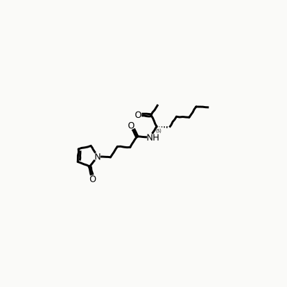 CCCCC[C@H](NC(=O)CCCN1CC=CC1=O)C(C)=O